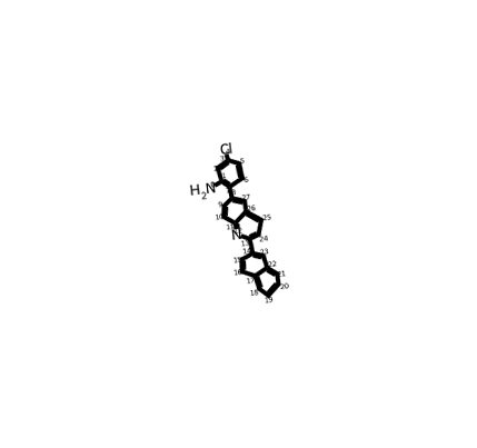 Nc1cc(Cl)ccc1-c1ccc2nc(-c3ccc4ccccc4c3)ccc2c1